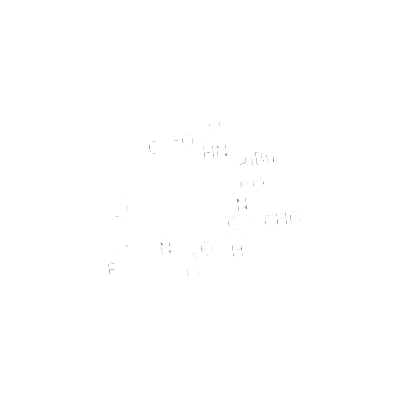 CCCC[C@@H]1NC(=O)OCCC/C=C/c2ccc(F)c3c2CN(C3)C(=O)O[C@@H]2C[C@@H](C=O)N(C2)C1=O